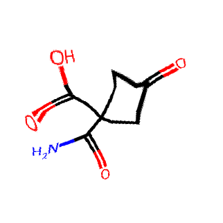 NC(=O)C1(C(=O)O)CC(=O)C1